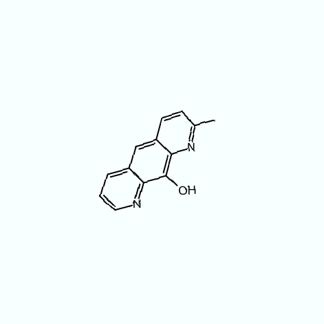 Cc1ccc2cc3cccnc3c(O)c2n1